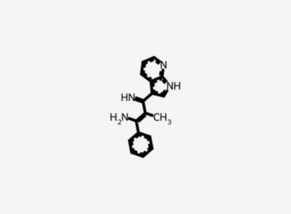 C/C(C(=N)c1c[nH]c2ncccc12)=C(/N)c1ccccc1